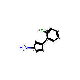 NC1C=CC(c2ccccc2F)=C1